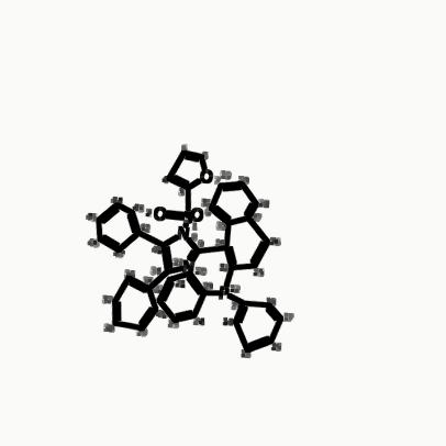 O=S(=O)(c1ccco1)n1c(-c2c(P(c3ccccc3)c3ccccc3)ccc3ccccc23)nc(-c2ccccc2)c1-c1ccccc1